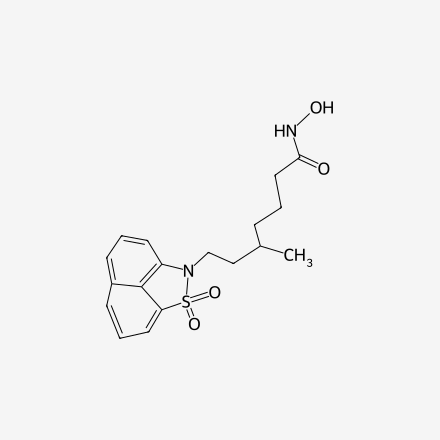 CC(CCCC(=O)NO)CCN1c2cccc3cccc(c23)S1(=O)=O